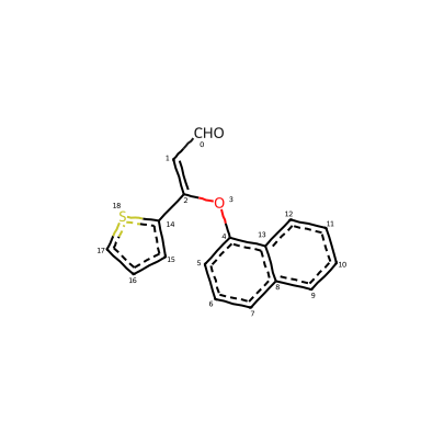 O=C/C=C(\Oc1cccc2ccccc12)c1cccs1